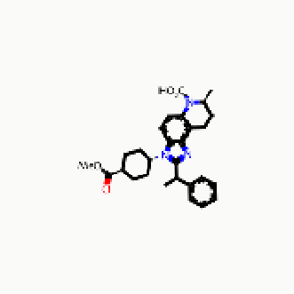 COC(=O)[C@H]1CC[C@H](n2c(C(C)c3ccccc3)nc3c4c(ccc32)N(C(=O)O)[C@@H](C)CC4)CC1